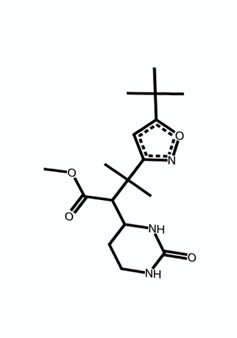 COC(=O)C(C1CCNC(=O)N1)C(C)(C)c1cc(C(C)(C)C)on1